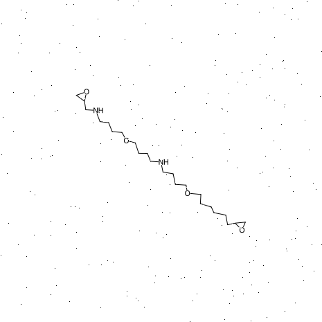 C(CCCC1CO1)CCOCCCCNCCCCOCCCCNCC1CO1